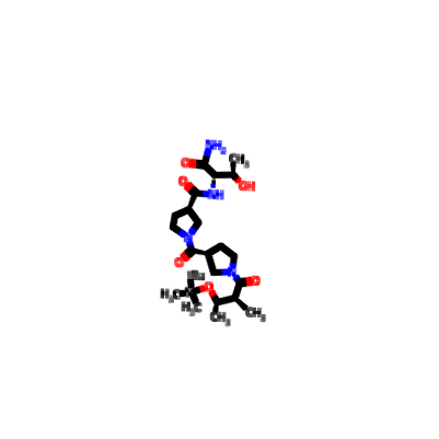 C[C@H](C(=O)N1CC[C@H](C(=O)N2CC[C@@H](C(=O)N[C@H](C(N)=O)[C@@H](C)O)C2)C1)[C@@H](C)O[Si](C)(C)C(C)(C)C